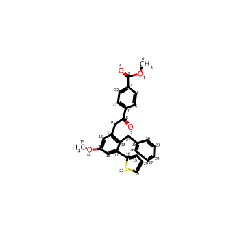 COC(=O)c1ccc(C(=O)Cc2cc(OC)cc(-c3cccs3)c2Cc2ccccc2)cc1